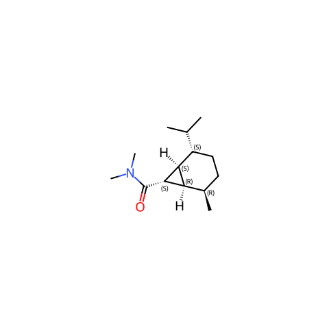 CC(C)[C@@H]1CC[C@@H](C)[C@H]2[C@H](C(=O)N(C)C)[C@H]21